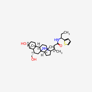 CCC(NC(=O)C[C@@H](C)C1CC[C@@H]2C1(C)CC[C@@H]1C3(C)CC[C@@H](O)CC3[C@@H](CO)CC12N)c1cccs1